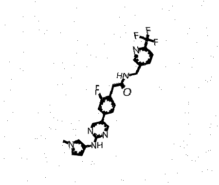 Cn1ccc(Nc2ncc(-c3ccc(CC(=O)NCc4ccc(C(F)(F)F)nc4)c(F)c3)cn2)c1